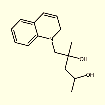 CC(O)CC(C)(O)CN1CC=Cc2ccccc21